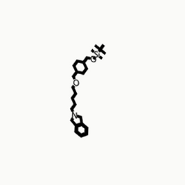 CC(C)(C)[Si](C)(C)OCC1CCC(COCCCCCN2Cc3ccccc3C2)CC1